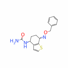 NC(=O)N[C@H]1CCC(=NOCc2ccccc2)c2sccc21